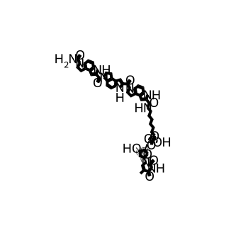 Cc1cn([C@H]2C[C@H](O)[C@@H](COP(=O)(O)OCCCCCCNC(=O)c3cc4c5c(ccc4[nH]3)N(C(=O)c3cc4c6c(ccc4[nH]3)N(C(=O)c3cc4c7c(ccc4[nH]3)N(C(N)=O)CC7)CC6)CC5)O2)c(=O)[nH]c1=O